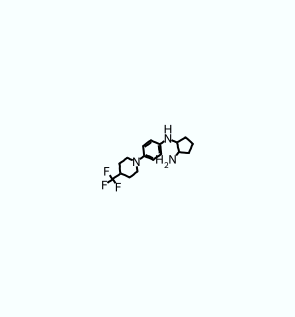 NC1CCCC1Nc1ccc(N2CCC(C(F)(F)F)CC2)cc1